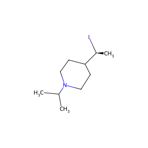 CC(C)N1CCC([C@H](C)I)CC1